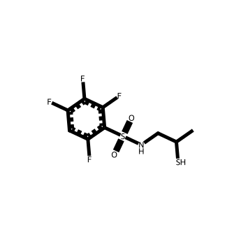 CC(S)CNS(=O)(=O)c1c(F)cc(F)c(F)c1F